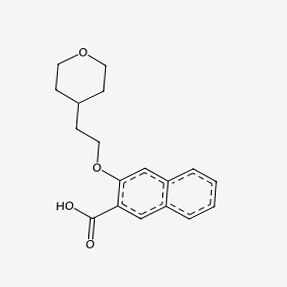 O=C(O)c1cc2ccccc2cc1OCCC1CCOCC1